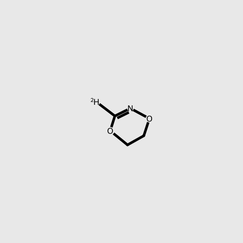 [2H]C1=NOCCO1